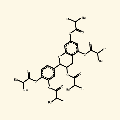 CCCCC(CC)C(=O)Oc1cc(OC(=O)C(CC)CCCC)c2c(c1)OC(c1ccc(OC(=O)C(CC)CCCC)c(OC(=O)C(CC)CCCC)c1)C(OC(=O)C(CC)CCCC)C2